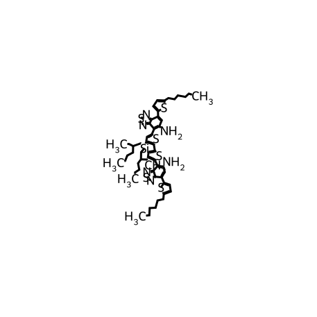 CCCCCCc1ccc(-c2cc(N)c(-c3cc4c(s3)-c3sc(-c5c(N)cc(-c6ccc(CCCCCC)s6)c6nsnc56)cc3[Si]4(CC(CC)CCCC)CC(CC)CCCC)c3nsnc23)s1